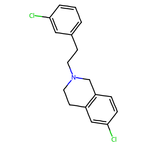 Clc1cccc(CCN2CCc3cc(Cl)ccc3C2)c1